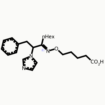 CCCCCC/C(=N\OCCCCC(=O)O)C(Cc1ccccc1)n1ccnc1